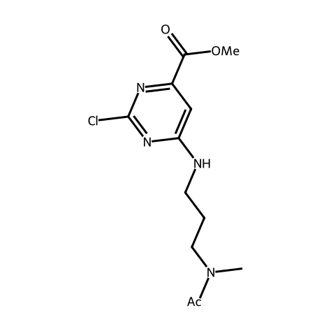 COC(=O)c1cc(NCCCN(C)C(C)=O)nc(Cl)n1